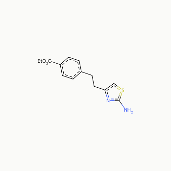 CCOC(=O)c1ccc(CCc2csc(N)n2)cc1